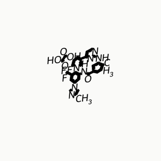 Cc1cn(-c2cc(NC(=O)c3ccc(C)c(Nc4nccc(-c5cccnc5)n4)c3)cc(C(F)(F)F)c2)cn1.O=C(O)C(=O)O